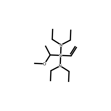 C=C[Si](C(C)OC)(N(CC)CC)N(CC)CC